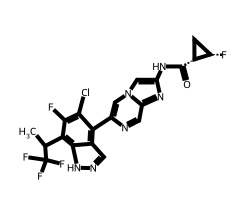 CC(c1c(F)c(Cl)c(-c2cn3cc(NC(=O)[C@@H]4C[C@@H]4F)nc3cn2)c2cn[nH]c12)C(F)(F)F